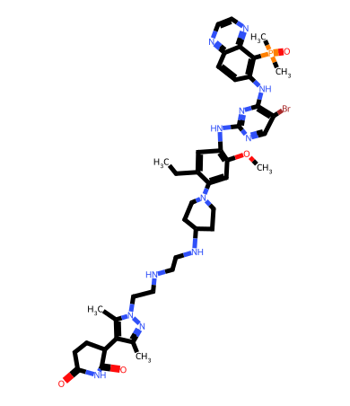 CCc1cc(Nc2ncc(Br)c(Nc3ccc4nccnc4c3P(C)(C)=O)n2)c(OC)cc1N1CCC(NCCNCCn2nc(C)c(C3CCC(=O)NC3=O)c2C)CC1